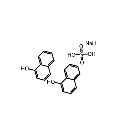 O=S(=O)(O)O.Oc1cccc2ccccc12.Oc1cccc2ccccc12.[NaH]